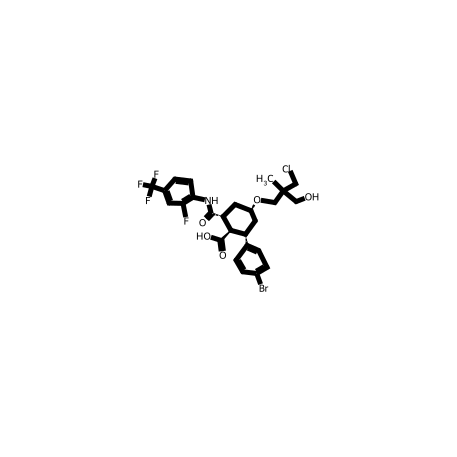 CC(CO)(CCl)CO[C@@H]1C[C@H](c2ccc(Br)cc2)[C@@H](C(=O)O)[C@H](C(=O)Nc2ccc(C(F)(F)F)cc2F)C1